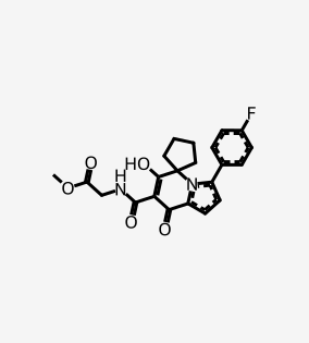 COC(=O)CNC(=O)C1=C(O)C2(CCCC2)n2c(ccc2-c2ccc(F)cc2)C1=O